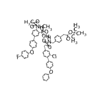 CC(C)(C)OC(=O)Cc1ccc(CNS(=O)(=O)Cc2ccc(-c3ccc(Oc4ccccc4)cc3)c(Cl)c2)cc1.COP(=O)(O)c1cc(-c2ccc(Oc3ccc(F)cc3)cc2)ccc1NS(C)(=O)=O